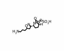 NCCCC1CC([C@@H]2CC[C@@H]3CN2C(=O)N3OS(=O)(=O)O)=NO1